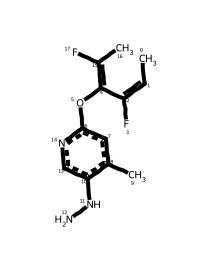 C/C=C(F)\C(Oc1cc(C)c(NN)cn1)=C(/C)F